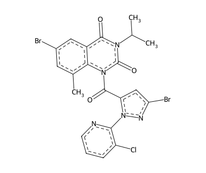 Cc1cc(Br)cc2c(=O)n(C(C)C)c(=O)n(C(=O)c3cc(Br)nn3-c3ncccc3Cl)c12